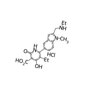 CCNCc1cc2cc(-c3[nH]c(=O)c(C(=O)O)c(O)c3CC)ccc2n1C.Cl